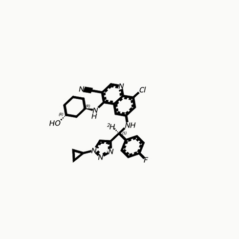 [2H][C@](Nc1cc(Cl)c2ncc(C#N)c(N[C@@H]3CCC[C@@H](O)C3)c2c1)(c1ccc(F)cc1)c1cn(C2CC2)nn1